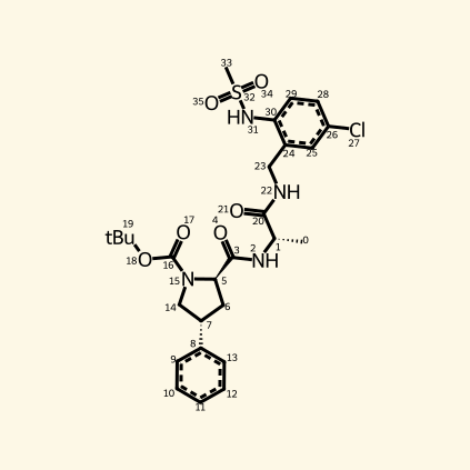 C[C@H](NC(=O)[C@H]1C[C@H](c2ccccc2)CN1C(=O)OC(C)(C)C)C(=O)NCc1cc(Cl)ccc1NS(C)(=O)=O